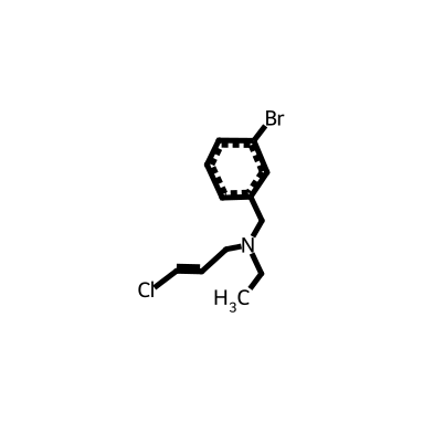 CCN(CC=CCl)Cc1cccc(Br)c1